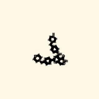 O=c1[nH]ncc2nc(-c3ccc(CN4CCOCC4)cc3)nc(Nc3ccc(CN4CCNCC4)cc3)c12